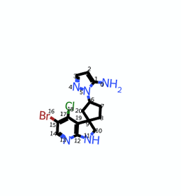 Nc1ccnn1C1CCC2(CNc3ncc(Br)c(Cl)c32)C1